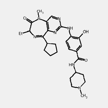 CCC1N=C(C2CCCC2)c2nc(Nc3ccc(C(=O)NC4CCN(C)CC4)cc3O)ncc2N(C)C1=O